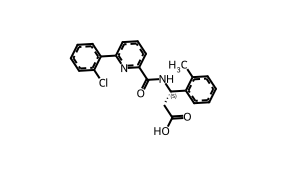 Cc1ccccc1[C@H](CC(=O)O)NC(=O)c1cccc(-c2ccccc2Cl)n1